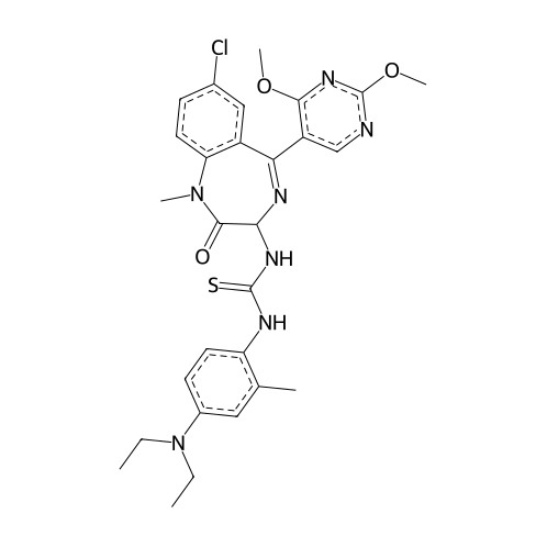 CCN(CC)c1ccc(NC(=S)NC2N=C(c3cnc(OC)nc3OC)c3cc(Cl)ccc3N(C)C2=O)c(C)c1